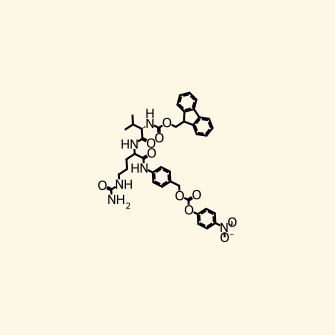 CC(C)[C@H](NC(=O)OCC1c2ccccc2-c2ccccc21)C(=O)NC(CCCNC(N)=O)C(=O)Nc1ccc(COC(=O)Oc2ccc([N+](=O)[O-])cc2)cc1